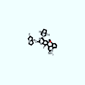 C#Cc1cccc2nc(N)cc(-c3c(F)cc4c(N5C[C@H]6CC[C@@H](C5)N6)nc(OC[C@@]56CCCN5C[C@H](F)C6)nc4c3F)c12